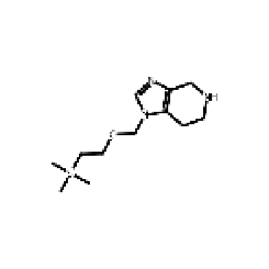 C[Si](C)(C)CCOCn1cnc2c1CCNC2